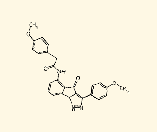 COc1ccc(CC(=O)Nc2cccc3c2C(=O)C2=C(c4ccc(OC)cc4)N=NC23)cc1